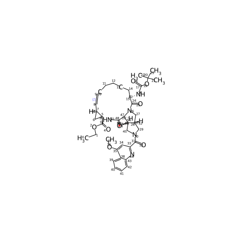 CCOC(=O)[C@@]12C[C@H]1/C=C\CCCCC[C@H](NC(=O)OC(C)(C)C)C(=O)N1C[C@@H]3CN(C(=O)c4cc(OC)c5ccccc5n4)C[C@@H]3[C@H]1C(=O)N2